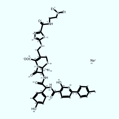 CCN(CC)CCNC(=O)c1nnc(SCC2=C(C(=O)[O-])N3C(=O)C(NC(=O)C(NC(=O)c4ccc(-c5ccc(C)cc5)nc4O)c4ccc(O)cc4)[C@@H]3SC2)s1.[Na+]